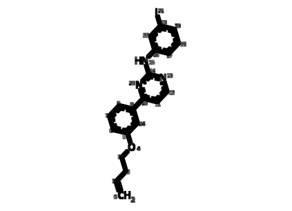 C=CCCOc1cccc(-c2ccnc(Nc3cccc(I)c3)n2)c1